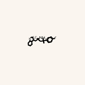 CC(C)(CC(N)(Cc1ccnc2ccccc12)C(F)(F)F)c1ccc(F)cc1